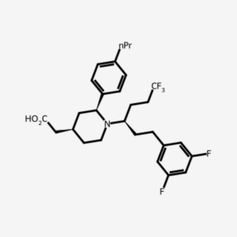 CCCc1ccc([C@@H]2C[C@H](CC(=O)O)CCN2[C@H](CCc2cc(F)cc(F)c2)CCC(F)(F)F)cc1